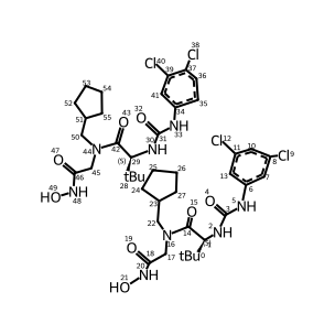 CC(C)(C)[C@H](NC(=O)Nc1cc(Cl)cc(Cl)c1)C(=O)N(CC(=O)NO)CC1CCCC1.CC(C)(C)[C@H](NC(=O)Nc1ccc(Cl)c(Cl)c1)C(=O)N(CC(=O)NO)CC1CCCC1